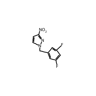 O=[N+]([O-])c1ccn(Cc2cc(F)cc(F)c2)n1